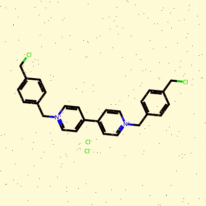 ClCc1ccc(C[n+]2ccc(-c3cc[n+](Cc4ccc(CCl)cc4)cc3)cc2)cc1.[Cl-].[Cl-]